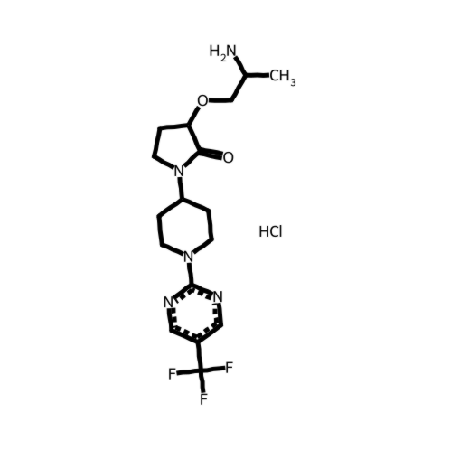 CC(N)COC1CCN(C2CCN(c3ncc(C(F)(F)F)cn3)CC2)C1=O.Cl